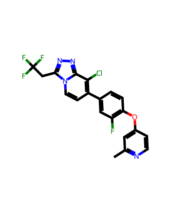 Cc1cc(Oc2ccc(-c3ccn4c(CC(F)(F)F)nnc4c3Cl)cc2F)ccn1